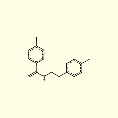 C=C(NCCc1ccc(C)cc1)c1ccc(C)cc1